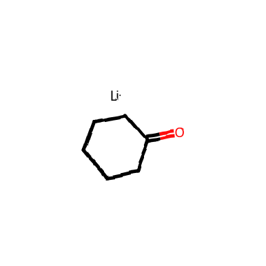 O=C1CCCCC1.[Li]